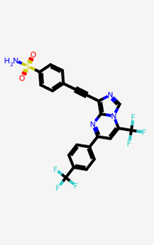 NS(=O)(=O)c1ccc(C#Cc2ncn3c(C(F)(F)F)cc(-c4ccc(C(F)(F)F)cc4)nc23)cc1